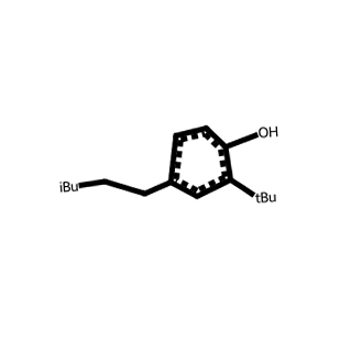 CCC(C)CCc1ccc(O)c(C(C)(C)C)c1